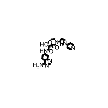 CC1([C@@H](O)C(=O)Nc2ccc3c(N)ncnc3c2)OCCN(c2ccn(-c3ccncc3)n2)C1=O